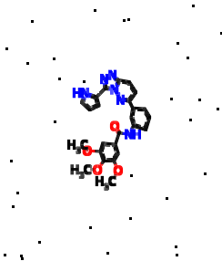 COc1cc(C(=O)Nc2cccc(-c3ccc4nnc(-c5ccc[nH]5)n4n3)c2)cc(OC)c1OC